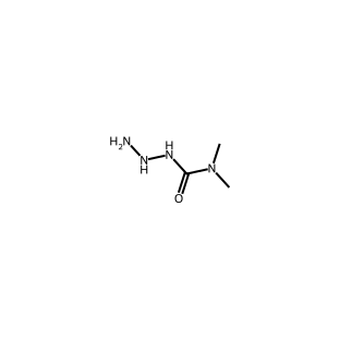 CN(C)C(=O)NNN